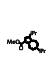 COC(=O)c1cc(C(C)C)c2ccc(C(C)C)ccc1-2